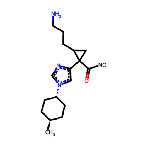 C[C@H]1CC[C@H](n2cnc(C3(C(=O)N=O)CC3CCCN)c2)CC1